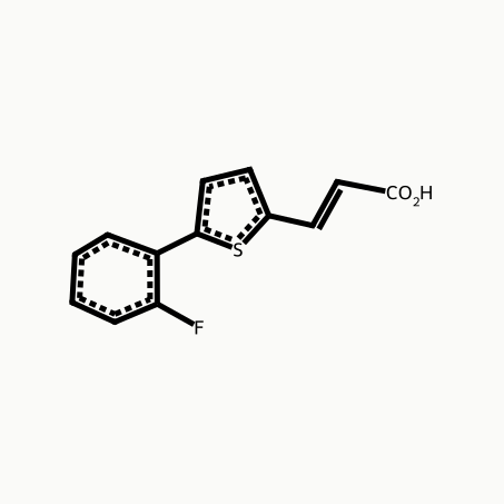 O=C(O)/C=C/c1ccc(-c2ccccc2F)s1